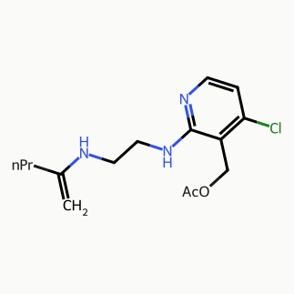 C=C(CCC)NCCNc1nccc(Cl)c1COC(C)=O